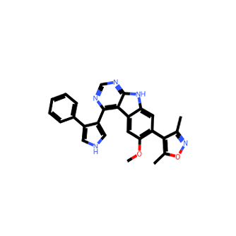 COc1cc2c(cc1-c1c(C)noc1C)[nH]c1ncnc(-c3c[nH]cc3-c3ccccc3)c12